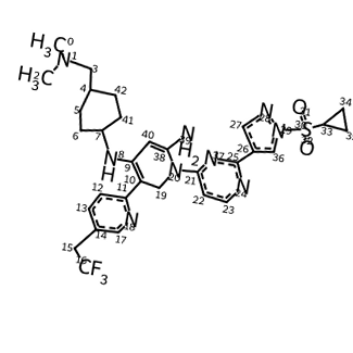 CN(C)CC1CCC(NC2=C(c3ccc(CC(F)(F)F)cn3)CN(c3ccnc(-c4cnn(S(=O)(=O)C5CC5)c4)n3)C(N)=C2)CC1